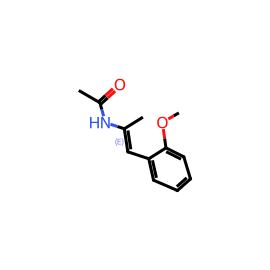 COc1ccccc1/C=C(\C)NC(C)=O